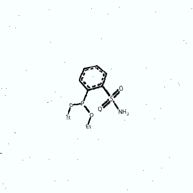 CCOP(OCC)c1ccccc1S(N)(=O)=O